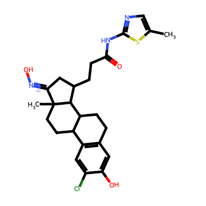 Cc1cnc(NC(=O)CCC2C/C(=N\O)C3(C)CCC4c5cc(Cl)c(O)cc5CCC4C23)s1